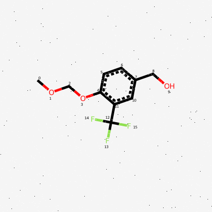 COCOc1ccc(CO)cc1C(F)(F)F